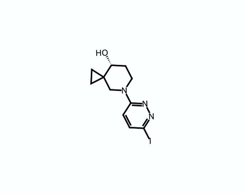 O[C@@H]1CCN(c2ccc(I)nn2)CC12CC2